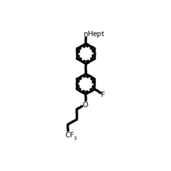 CCCCCCCc1ccc(-c2ccc(OCCCC(F)(F)F)c(F)c2)cc1